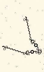 C=CC(=O)OCCCCCCCCCCCCOc1cnc(-c2ccc(COC3OCCOC3OCc3ccc(-c4ncc(OCCCCCCCCCCCCOC(=O)C=C)cn4)cc3)cc2)nc1